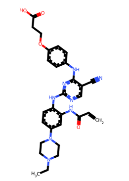 C=CC(=O)Nc1cc(N2CCN(CC)CC2)ccc1Nc1ncc(C#N)c(Nc2ccc(OCCC(=O)O)cc2)n1